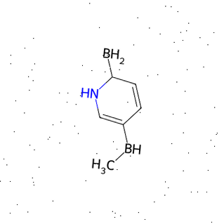 BC1C=CC(BC)=CN1